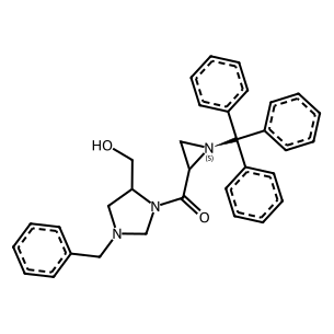 O=C(C1C[N@@]1C(c1ccccc1)(c1ccccc1)c1ccccc1)N1CN(Cc2ccccc2)CC1CO